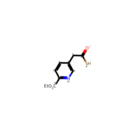 CCOC(=O)c1ccc(CC(=O)S)cn1